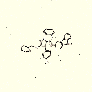 COc1ccc(-n2c(SCc3ncccn3)nnc2[C@H](Cc2ccccc2)NC(=O)Cc2c(C)[nH]c3ccccc23)cc1